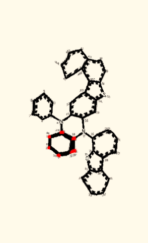 c1ccc(N(c2ccccc2)c2cc3c(cc2N(c2ccccc2)c2cccc4c2oc2ccccc24)sc2ccc4ccccc4c23)cc1